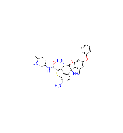 Cc1cc(Oc2ccccc2)ccc1C1(N)C(=O)C(N)c2c(C(=O)NC3CCC(C)N(C)C3)sc3c(N)ccc1c23